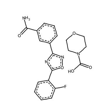 NC(=O)c1cccc(-c2noc(-c3ccccc3F)n2)c1.O=C(O)N1CCOCC1